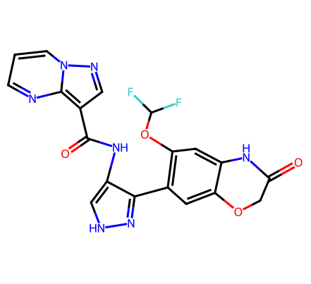 O=C1COc2cc(-c3n[nH]cc3NC(=O)c3cnn4cccnc34)c(OC(F)F)cc2N1